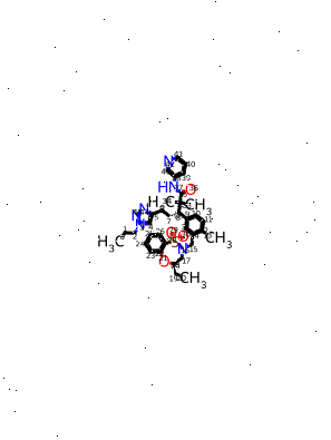 CCCn1cc(CC[C@@H](c2ccc(C)c(CN3C[C@@H](CC)Oc4ccccc4S3(=O)=O)c2)C(C)(C)C(=O)Nc2cccnc2)nn1